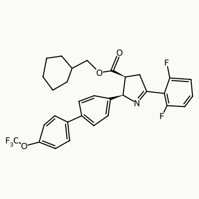 O=C(OCC1CCCCC1)[C@H]1CC(c2c(F)cccc2F)=N[C@H]1c1ccc(-c2ccc(OC(F)(F)F)cc2)cc1